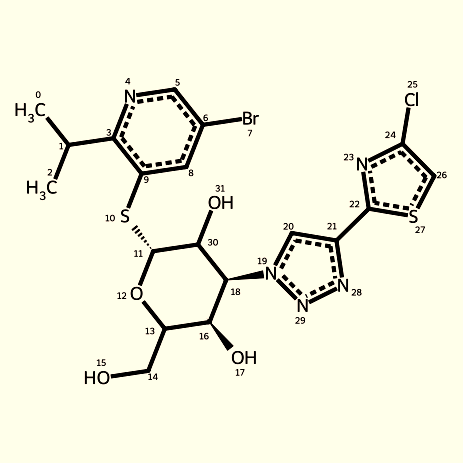 CC(C)c1ncc(Br)cc1S[C@H]1OC(CO)[C@H](O)[C@H](n2cc(-c3nc(Cl)cs3)nn2)C1O